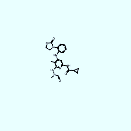 Cc1c(Nc2ccccc2N2CCOC2=O)cc(NC(=O)C2CC2)nc1NN(C)C=O